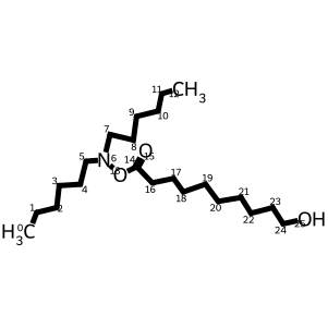 CCCCCCN(CCCCCC)OC(=O)CCCCCCCCCO